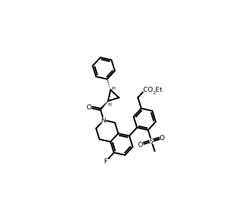 CCOC(=O)Cc1ccc(S(C)(=O)=O)c(-c2ccc(F)c3c2CN(C(=O)[C@@H]2C[C@H]2c2ccccc2)CC3)c1